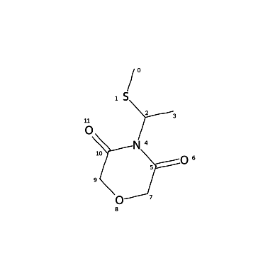 CSC(C)N1C(=O)COCC1=O